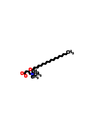 CCCCCCCCCCCCCCC=CC=COC(CC(=O)[O-])C[N+](C)(C)C